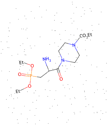 CCOC(=O)N1CCN(C(=O)C(N)CP(=O)(OCC)OCC)CC1